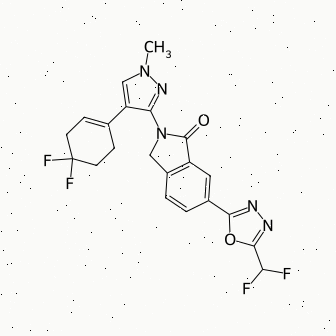 Cn1cc(C2=CCC(F)(F)CC2)c(N2Cc3ccc(-c4nnc(C(F)F)o4)cc3C2=O)n1